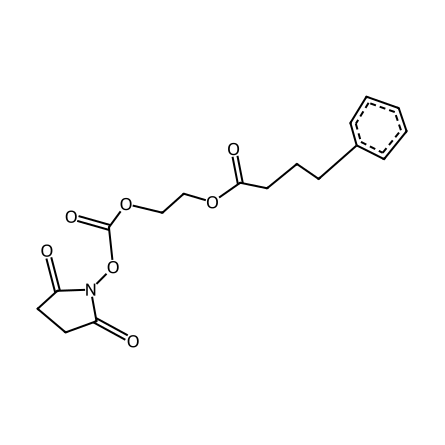 O=C(CCCc1ccccc1)OCCOC(=O)ON1C(=O)CCC1=O